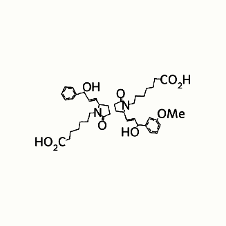 COc1cccc(C(O)C=C[C@H]2CCC(=O)N2CCCCCCC(=O)O)c1.O=C(O)CCCCCCN1C(=O)CC[C@@H]1C=CC(O)c1ccccc1